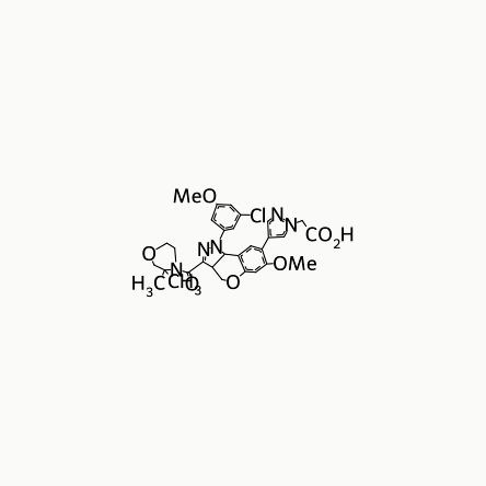 COc1cc(Cl)cc(N2N=C(C(=O)N3CCOCC3(C)C)C3COc4cc(OC)c(-c5cnn(CC(=O)O)c5)cc4C32)c1